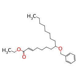 CCCCCCCCC(CCCCC=CC(=O)OCC)OCc1ccccc1